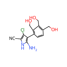 N#Cc1[nH]c(N)c(-c2ccc(CO)c(CO)c2CO)c1Cl